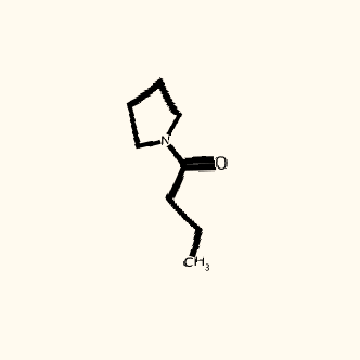 CCCC(=O)N1CCCC1